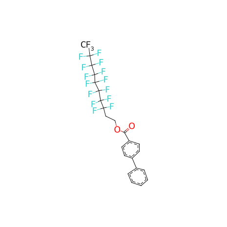 O=C(OCCC(F)(F)C(F)(F)C(F)(F)C(F)(F)C(F)(F)C(F)(F)C(F)(F)C(F)(F)F)c1ccc(-c2ccccc2)cc1